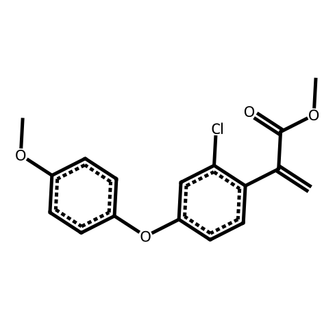 C=C(C(=O)OC)c1ccc(Oc2ccc(OC)cc2)cc1Cl